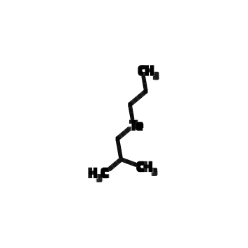 CCC[Te]CC(C)C